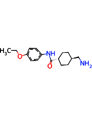 CCOc1ccc(NC(=O)[C@H]2CC[C@H](CN)CC2)cc1